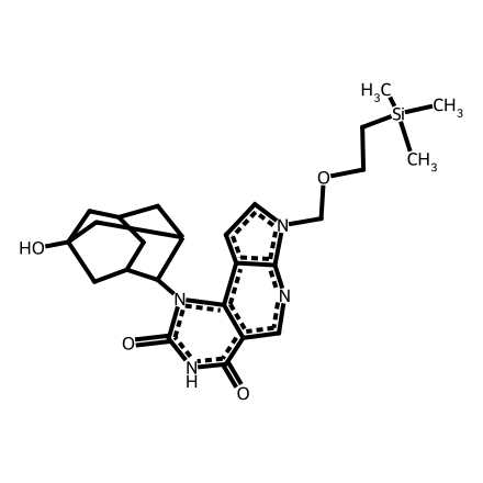 C[Si](C)(C)CCOCn1ccc2c1ncc1c(=O)[nH]c(=O)n(C3C4CC5CC3CC(O)(C5)C4)c12